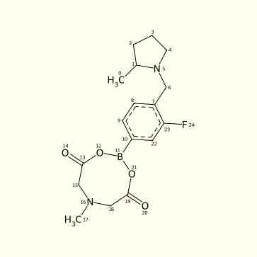 CC1CCCN1Cc1ccc(B2OC(=O)CN(C)CC(=O)O2)cc1F